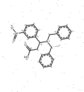 C[C@H](c1ccccc1)N(Cc1ccccc1)C(CC(=O)O)c1cccc([N+](=O)[O-])c1